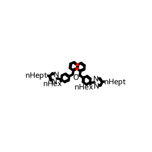 CCCCCCCc1cnc(C2(CCCCCC)C=CC(C(OC(C3=CCC(CCCCCC)(c4ncc(CCCCCCC)cn4)C=C3)c3ccccc3)c3ccccc3)=CC2)nc1